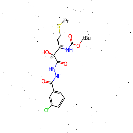 CC(C)SCC[C@@H](NC(=O)OC(C)(C)C)[C@H](O)C(=O)NNC(=O)c1cccc(Cl)c1